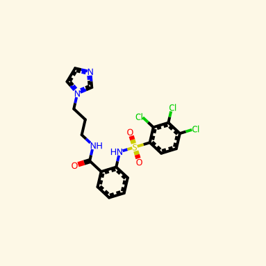 O=C(NCCCn1ccnc1)c1ccccc1NS(=O)(=O)c1ccc(Cl)c(Cl)c1Cl